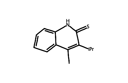 Cc1c(C(C)C)c(=S)[nH]c2ccccc12